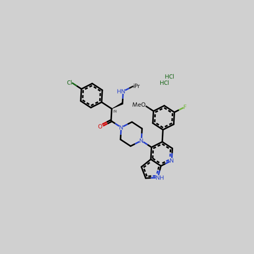 COc1cc(F)cc(-c2cnc3[nH]ccc3c2N2CCN(C(=O)[C@H](CNC(C)C)c3ccc(Cl)cc3)CC2)c1.Cl.Cl